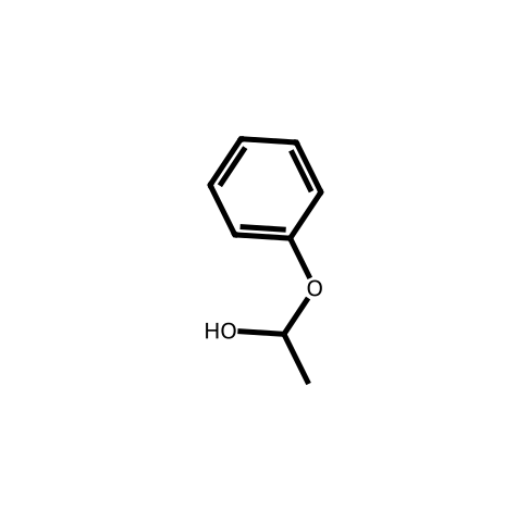 CC(O)Oc1ccccc1